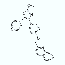 Cn1cc(-c2ccncc2)c(-c2ccc(OCc3ccc4ccccc4n3)nc2)n1